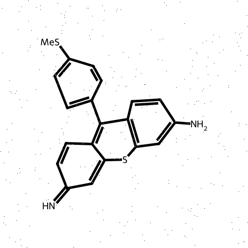 CSc1ccc(-c2c3ccc(=N)cc-3sc3cc(N)ccc23)cc1